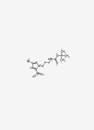 CC(C)(C)OC(=O)NCCCn1cc(Br)nc1[N+](=O)[O-]